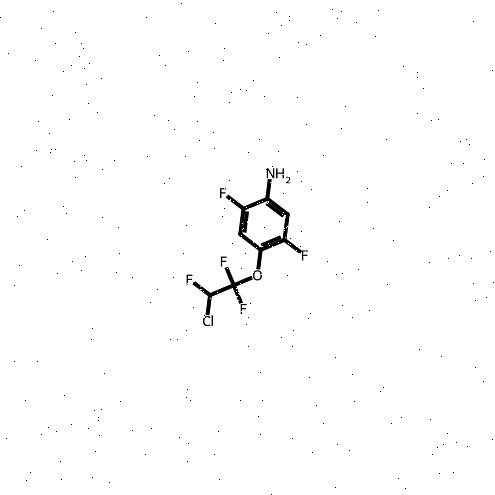 Nc1cc(F)c(OC(F)(F)C(F)Cl)cc1F